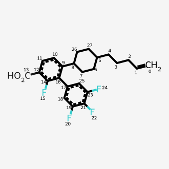 C=CCCCC1CCC(c2ccc(C(=O)O)c(F)c2-c2cc(F)c(F)c(F)c2)CC1